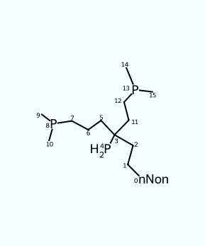 CCCCCCCCCCCC(P)(CCCP(C)C)CCP(C)C